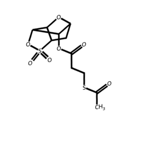 CC(=O)SCCC(=O)OC1C2CC3C(O2)C1OS3(=O)=O